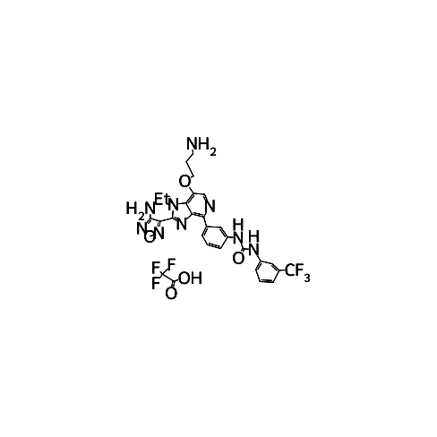 CCn1c(-c2nonc2N)nc2c(-c3cccc(NC(=O)Nc4cccc(C(F)(F)F)c4)c3)ncc(OCCCN)c21.O=C(O)C(F)(F)F